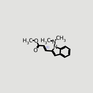 COC(=O)/C=C/c1cc2ccccc2n1N(C)C